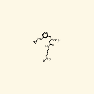 CCN(CC)CCCCNC(=O)CN(Cc1cc(C=NC2CC2)ccn1)C(=O)O